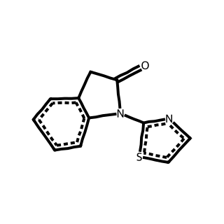 O=C1Cc2ccccc2N1c1nccs1